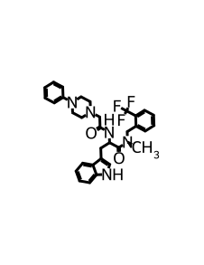 CN(Cc1ccccc1C(F)(F)F)C(=O)C(Cc1c[nH]c2ccccc12)NC(=O)CN1CCN(c2ccccc2)CC1